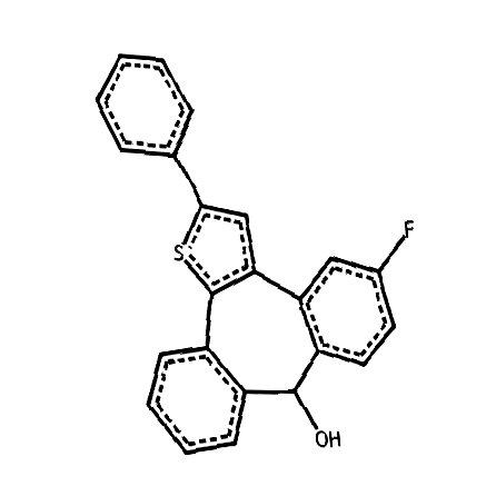 OC1c2ccc(F)cc2-c2cc(-c3ccccc3)sc2-c2ccccc21